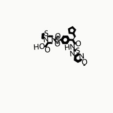 COc1ccc2nc(NC(=O)[C@H](CC3CCCC3)c3ccc(S(=O)(=O)N(CCC(=O)O)Cc4nccs4)cc3)sc2n1